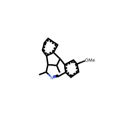 COc1ccc2c(c1)C1c3ccccc3C(C(C)/N=C\2)C1C